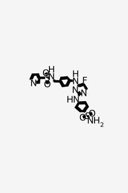 NS(=O)(=O)c1ccc(Nc2ncc(F)c(Nc3ccc(CNS(=O)(=O)c4cccnc4)cc3)n2)cc1